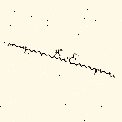 C=CCCCNC(=O)CCCCCCCCCCC(CCOCC[C@@H](CCCCCCCCCCC(=O)NCCCC=C)NC(C)=O)NC(C)=O